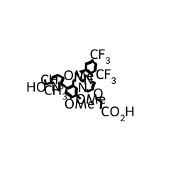 COc1cc(CN(Cc2cc(C(F)(F)F)cc(C(F)(F)F)c2)c2ncc(OCCCC(=O)O)cn2)c(-c2nc(C(C)(C)O)ccc2OC)cc1OC